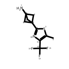 Cc1sc(C23CC(N)(C2)C3)nc1C(F)(F)F